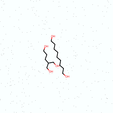 OCCCC(CO)CO.OCCCCCCCCCO